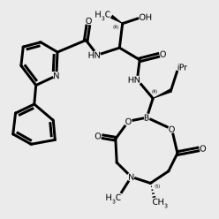 CC(C)C[C@H](NC(=O)C(NC(=O)c1cccc(-c2ccccc2)n1)[C@@H](C)O)B1OC(=O)C[C@H](C)N(C)CC(=O)O1